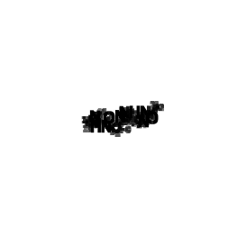 Cc1ccc(NC(=O)c2cn(C(C)C)nc2C)cc1-c1cc(-c2ccnc(NC(=O)C3CC3)c2)cnn1